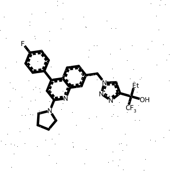 CCC(O)(c1cn(Cc2ccc3c(-c4ccc(F)cc4)cc(N4CCCC4)nc3c2)nn1)C(F)(F)F